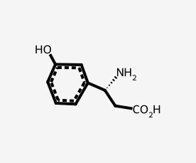 N[C@H](CC(=O)O)c1cccc(O)c1